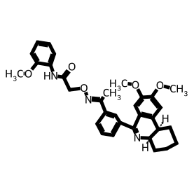 COc1ccccc1NC(=O)CON=C(C)c1cccc(C2=N[C@@H]3CCCC[C@@H]3c3cc(OC)c(OC)cc32)c1